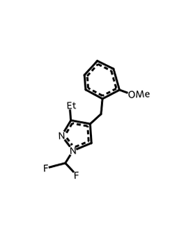 CCc1nn(C(F)F)cc1Cc1ccccc1OC